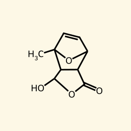 CC12C=CC(O1)C1C(=O)OC(O)C12